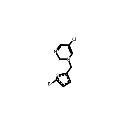 ClC1=CN(Cc2ccc(Br)s2)CN=C1